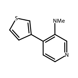 CNc1cnccc1-c1ccsc1